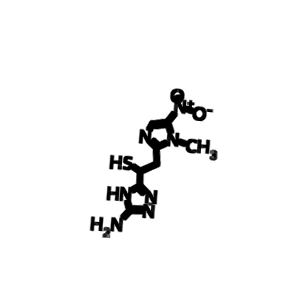 Cn1c([N+](=O)[O-])cnc1CC(S)c1nnc(N)[nH]1